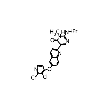 CC(C)Nc1ncc(-c2ccc3cc(Oc4ccnc(Cl)c4Cl)ccc3n2)c(=O)n1C